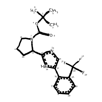 CC(C)(C)OC(=O)N1CCCC1c1ncc(-c2ccccc2C(F)(F)F)[nH]1